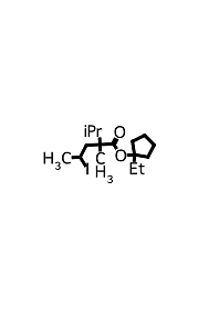 CCC1(OC(=O)C(C)(CC(C)I)C(C)C)CCCC1